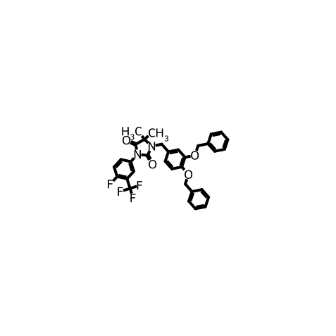 CC1(C)C(=O)N(c2ccc(F)c(C(F)(F)F)c2)C(=O)N1Cc1ccc(OCc2ccccc2)c(OCc2ccccc2)c1